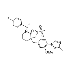 COc1cc(CC2(CN(C)S(C)(=O)=O)CCCN([C@@H](C)c3ccc(F)cc3)C2=O)ccc1-n1cnc(C)c1